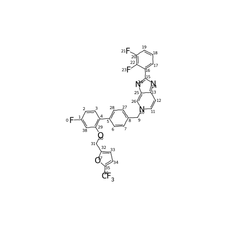 Fc1ccc(-c2ccc(Cn3ccc4nc(-c5cccc(F)c5F)nc-4c3)cc2)c(OCc2ccc(C(F)(F)F)o2)c1